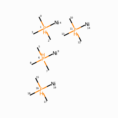 C[PH](C)(C)[Ni].C[PH](C)(C)[Ni].C[PH](C)(C)[Ni].C[PH](C)(C)[Ni]